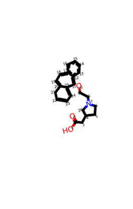 O=C(O)CC1CCN(CCOC2=c3ccccc3=CC=C3CC=CC=C32)C1